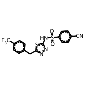 N#Cc1ccc(S(=O)(=O)Nc2nnc(Cc3ccc(C(F)(F)F)cc3)s2)cc1